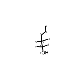 CCCC(C)(C)C(C)(C)O